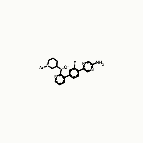 CC(=O)N1CCCC([S+]([O-])c2ncccc2-c2ccc(-c3cnc(N)cn3)c(F)c2)C1